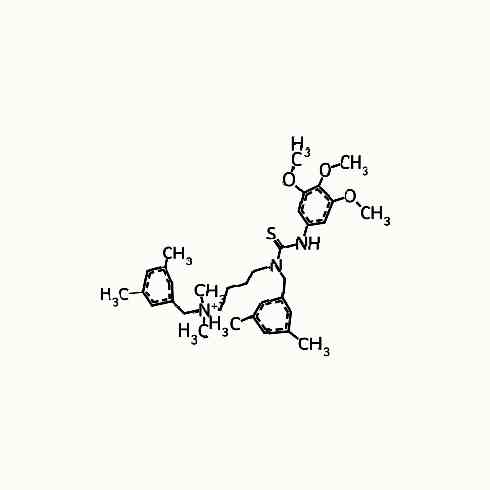 COc1cc(NC(=S)N(CCCC[N+](C)(C)Cc2cc(C)cc(C)c2)Cc2cc(C)cc(C)c2)cc(OC)c1OC